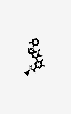 Cc1c(F)cc(C(=O)NC2CC2)cc1-c1cc2cnn(-c3ccccc3F)c2n(C)c1=O